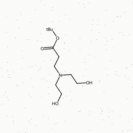 CC(C)(C)OC(=O)CCN(CCO)CCO